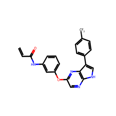 C=CC(=O)Nc1cccc(Oc2cnc3[nH]cc(-c4ccc(C(F)(F)F)cc4)c3n2)c1